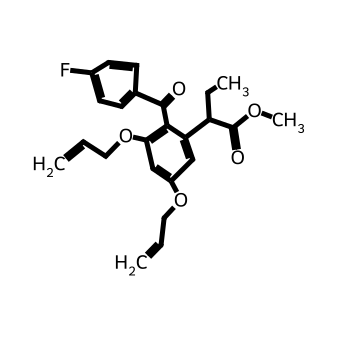 C=CCOc1cc(OCC=C)c(C(=O)c2ccc(F)cc2)c(C(CC)C(=O)OC)c1